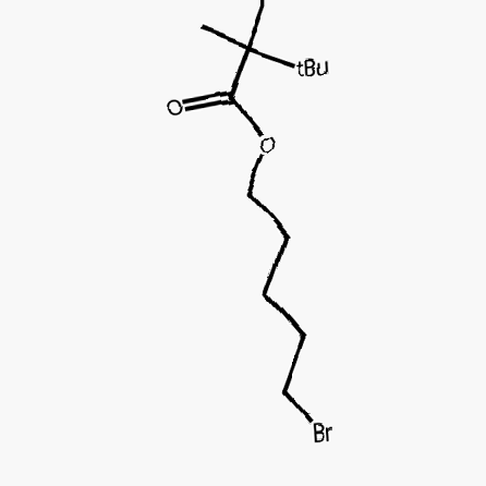 CC(C)(C)C(C)(C)C(=O)OCCCCCBr